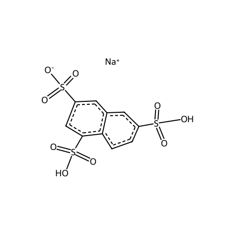 O=S(=O)([O-])c1cc(S(=O)(=O)O)c2ccc(S(=O)(=O)O)cc2c1.[Na+]